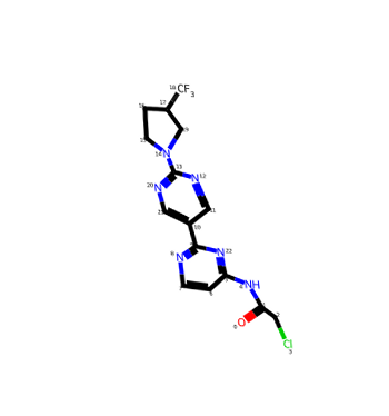 O=C(CCl)Nc1ccnc(-c2cnc(N3CCC(C(F)(F)F)C3)nc2)n1